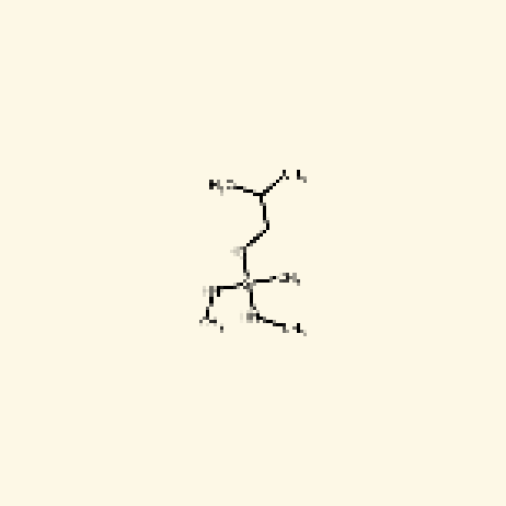 CN[Si](C)(NC)NCC(C)C